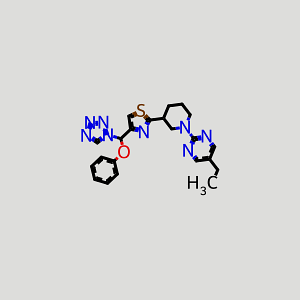 CCc1cnc(N2CCCC(c3nc(C(Oc4ccccc4)n4cnnn4)cs3)C2)nc1